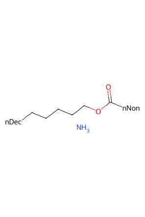 CCCCCCCCCCCCCCCOC(=O)CCCCCCCCC.N